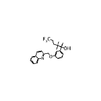 CC(C)(CCC(F)(F)F)C(C)(O)c1cccc(OCc2ccc3ccccc3n2)c1